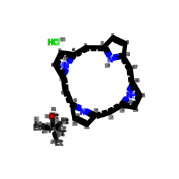 C1=Cc2cc3ccc(cc4nc(cc5ccc(cc1n2)[nH]5)C=C4)[nH]3.C[CH2][Pt]([CH2]C)([CH2]C)([CH2]C)([CH2]C)([CH2]C)([CH2]C)[CH2]C.Cl